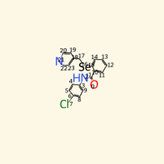 O=C(Nc1ccc(Cl)cc1)c1ccccc1[Se]Cc1ccncc1